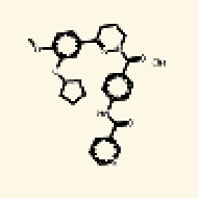 COc1ccc(C2=NN(C(=O)c3ccc(NC(=O)c4cccnc4)cc3)CCC2)cc1OC1CCCC1.Cl